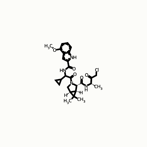 COc1cccc2[nH]c(C(=O)NC(C(=O)N3C[C@H]4[C@@H]([C@H]3C(=O)N[C@@H](C)C(=O)CCl)C4(C)C)C3CC3)cc12